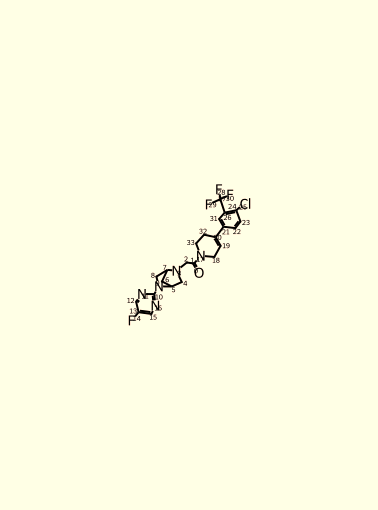 O=C(CN1CC2CC1CN2c1ncc(F)cn1)N1CC=C(c2ccc(Cl)c(C(F)(F)F)c2)CC1